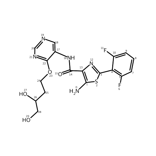 Nc1sc(-c2c(F)cccc2F)nc1C(=O)Nc1cncnc1OCCC(O)CO